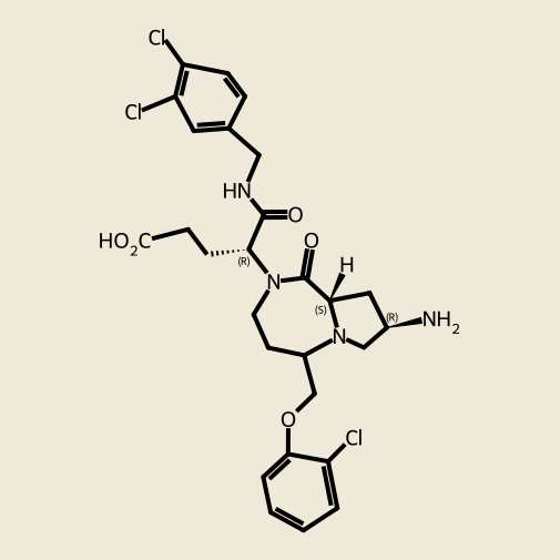 N[C@@H]1C[C@H]2C(=O)N([C@H](CCC(=O)O)C(=O)NCc3ccc(Cl)c(Cl)c3)CCC(COc3ccccc3Cl)N2C1